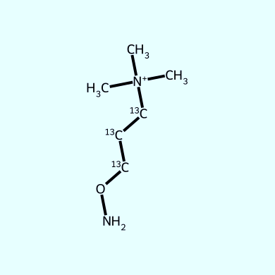 C[N+](C)(C)[13CH2][13CH2][13CH2]ON